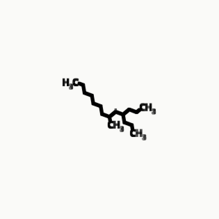 CCCCCCCC(C)[CH]C(CCC)CCC